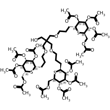 CC(=O)OC[C@H]1S[C@H](CCCOCC(CO)(COCCC[C@@H]2S[C@H](COC(C)=O)[C@@H](OC(C)=O)[C@H](OC(C)=O)[C@H]2OC(C)=O)COCCC[C@@H]2S[C@H](COC(C)=O)[C@@H](OC(C)=O)[C@H](OC(C)=O)[C@H]2OC(C)=O)[C@@H](OC(C)=O)[C@@H](OC(C)=O)[C@@H]1OC(C)=O